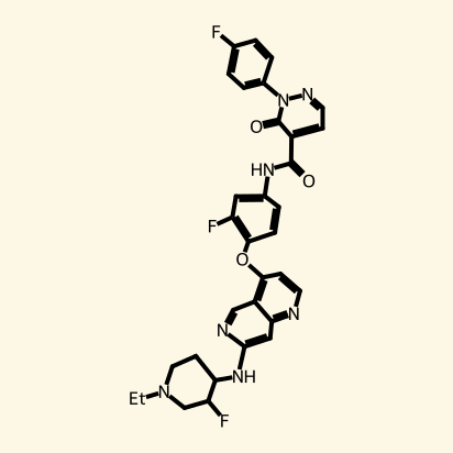 CCN1CCC(Nc2cc3nccc(Oc4ccc(NC(=O)c5ccnn(-c6ccc(F)cc6)c5=O)cc4F)c3cn2)C(F)C1